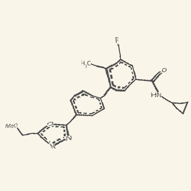 COCc1nnc(-c2ccc(-c3cc(C(=O)NC4CC4)cc(F)c3C)cc2)o1